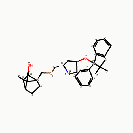 CC1(C)C2CC[C@@]1(CSC[C@@H]1C[C@@H](O[Si](c3ccccc3)(c3ccccc3)C(C)(C)C)CN1)C(O)C2